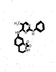 Cc1cnc(Nc2ccccc2)nc1Nc1ccc2c(c1)S(=O)(=O)NCC2